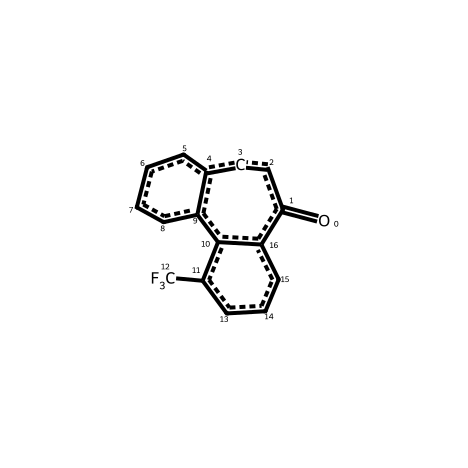 O=c1ccc2ccccc2c2c(C(F)(F)F)cccc12